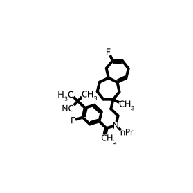 C=C(c1ccc(C(C)(C)C#N)c(F)c1)N(CCC)CCC1(C)CCCC2CC(F)=CCC=C2C1